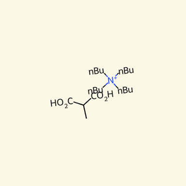 CC(C(=O)O)C(=O)O.CCCC[N+](CCCC)(CCCC)CCCC